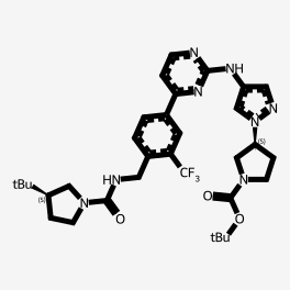 CC(C)(C)OC(=O)N1CC[C@H](n2cc(Nc3nccc(-c4ccc(CNC(=O)N5CC[C@@H](C(C)(C)C)C5)c(C(F)(F)F)c4)n3)cn2)C1